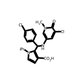 CC(C)n1ccc(C(=O)O)c1C(Nc1cc(Cl)c(=O)n(C)c1)c1ccc(Cl)cc1